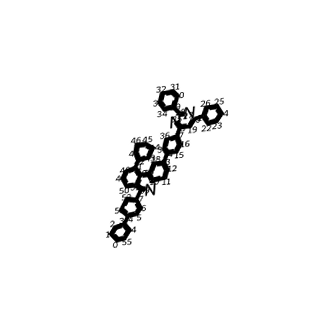 c1ccc(-c2ccc(-c3nc4ccc(-c5ccc(-c6cc(-c7ccccc7)nc(-c7ccccc7)n6)cc5)cc4c4c(-c5ccccc5)cccc34)cc2)cc1